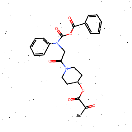 CC(C)(C)C(=O)C(=O)OC1CCN(C(=O)CN(C(=O)OC(=O)c2ccccc2)c2ccccc2)CC1